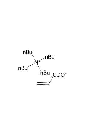 C=CC(=O)[O-].CCCC[N+](CCCC)(CCCC)CCCC